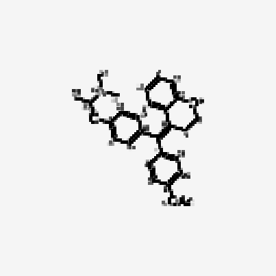 CC(=O)Oc1ccc(C(=C2CCOc3ccccc32)c2ccc(OC(C)N(C)C)cc2)cc1